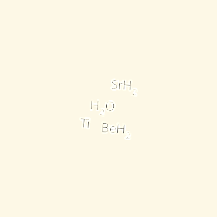 O.[BeH2].[SrH2].[Ti]